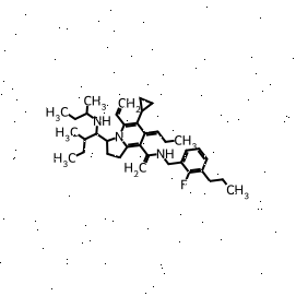 C=CC1=C(C2CC2)/C(=C/CC)C(C(=C)NCc2cccc(CCC)c2F)=C2CCC(C(NC(C)CC)C(C)CC)N12